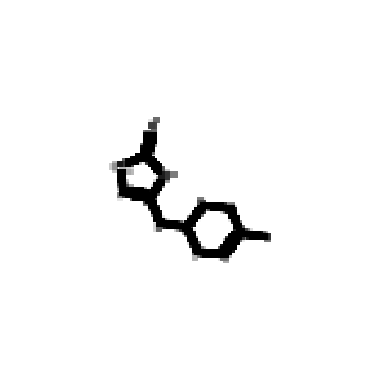 CC1=CCC(CC2=CNC(=S)[N]2)CC1